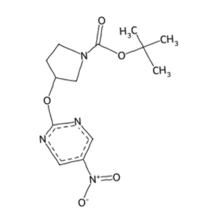 CC(C)(C)OC(=O)N1CCC(Oc2ncc([N+](=O)[O-])cn2)C1